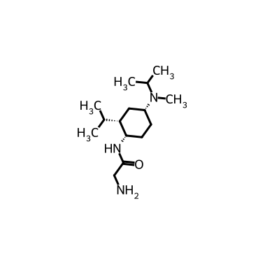 CC(C)[C@@H]1C[C@H](N(C)C(C)C)CC[C@@H]1NC(=O)CN